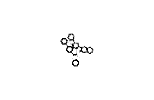 c1ccc(-c2ccc(-c3nc4ccccc4nc3-n3c4cc5ccccc5cc4c4cc5c(cc43)oc3ccccc35)cc2)cc1